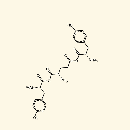 CC(=O)N[C@@H](Cc1ccc(O)cc1)C(=O)OC(=O)CC[C@H](N)C(=O)OC(=O)[C@H](Cc1ccc(O)cc1)NC(C)=O